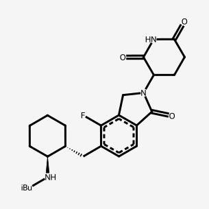 CCC(C)N[C@H]1CCCC[C@@H]1Cc1ccc2c(c1F)CN(C1CCC(=O)NC1=O)C2=O